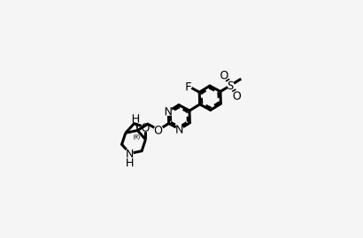 CS(=O)(=O)c1ccc(-c2cnc(OC[C@H]3C4CNCC3OC4)nc2)c(F)c1